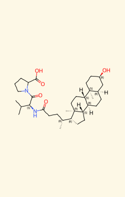 CC(C)[C@H](NC(=O)CC[C@@H](C)[C@H]1CC[C@H]2[C@@H]3CC[C@@H]4C[C@H](O)CC[C@]4(C)[C@H]3CC[C@]12C)C(=O)N1CCCC1C(=O)O